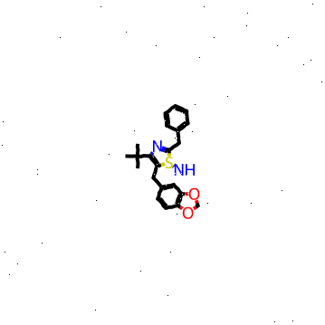 CC(C)(C)C1=C(Cc2ccc3c(c2)OCO3)S(=N)C(Cc2ccccc2)=N1